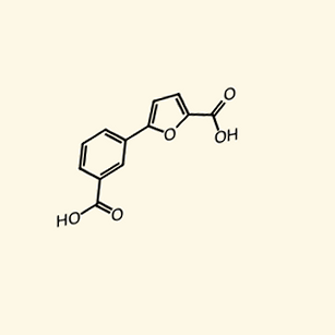 O=C(O)c1cccc(-c2ccc(C(=O)O)o2)c1